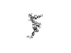 COc1ccc(CNC(=O)C(=O)NC[C@H](NC(=O)c2ccc(Nc3nc(NC4(c5ccc(Cl)cc5)CC4)nc(OCC(F)(F)F)n3)cc2)C(=O)O)cc1